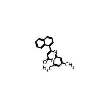 Cc1cc(C)n2c(=O)cc(-c3cccc4ccccc34)nc2c1